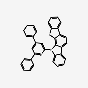 C1=CC(c2cc(-c3ccccc3)nc(-n3c4ccccc4c4ccc5c6ccccc6sc5c43)c2)=CCC1